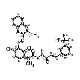 Cc1nc2ccccc2cc1OCc1c(Cl)ccc(N(C)C(=O)CNC(=O)/C=C/c2cccc(C(F)(F)F)c2)c1Cl